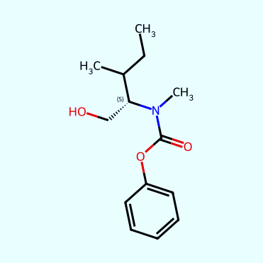 CCC(C)[C@@H](CO)N(C)C(=O)Oc1ccccc1